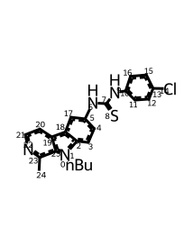 CCCCn1c2ccc(NC(=S)Nc3ccc(Cl)cc3)cc2c2ccnc(C)c21